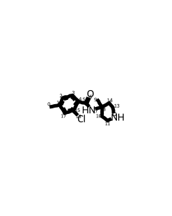 Cc1ccc(C(=O)NC2(C)CCNCC2)c(Cl)c1